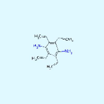 C=Cc1c(N)c(C=C)c(C=C)c(N)c1C=C